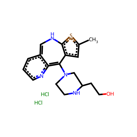 Cc1cc2c(s1)NC=c1cccnc1=C2N1CCNC(CCO)C1.Cl.Cl